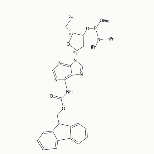 [2H]C[C@H]1O[C@@H](n2cnc3c(NC(=O)OCC4c5ccccc5-c5ccccc54)ncnc32)CC1OP(OC)N(C(C)C)C(C)C